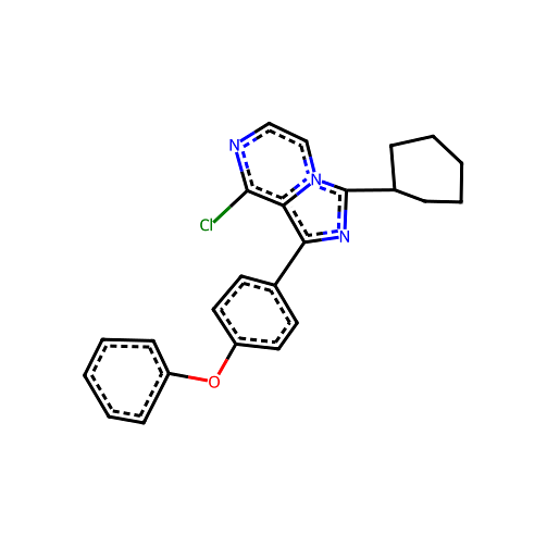 Clc1nccn2c(C3CCCCC3)nc(-c3ccc(Oc4ccccc4)cc3)c12